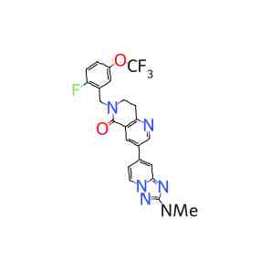 CNc1nc2cc(-c3cnc4c(c3)C(=O)N(Cc3cc(OC(F)(F)F)ccc3F)CC4)ccn2n1